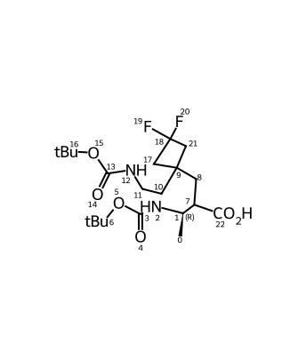 C[C@@H](NC(=O)OC(C)(C)C)C(CC1(CCNC(=O)OC(C)(C)C)CC(F)(F)C1)C(=O)O